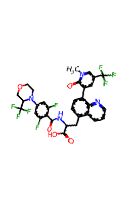 Cn1cc(C(F)(F)F)cc(-c2ccc(CC(NC(=O)c3c(F)cc(N4CCOCC4C(F)(F)F)cc3F)C(=O)O)c3cccnc23)c1=O